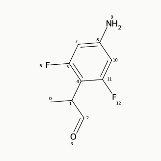 CC(C=O)c1c(F)cc(N)cc1F